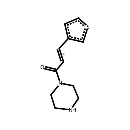 O=C(/C=C/c1ccsc1)N1CCNCC1